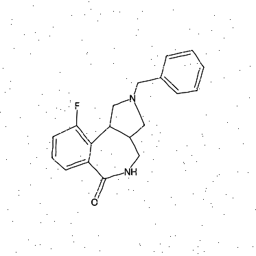 O=C1NCC2CN(Cc3ccccc3)CC2c2c(F)cccc21